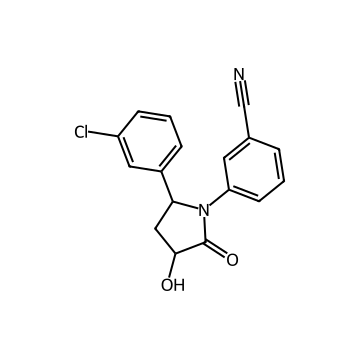 N#Cc1cccc(N2C(=O)C(O)CC2c2cccc(Cl)c2)c1